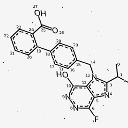 CC(C)c1nc2c(F)nnc(O)c2n1Cc1ccc(-c2ccccc2C(=O)O)cc1